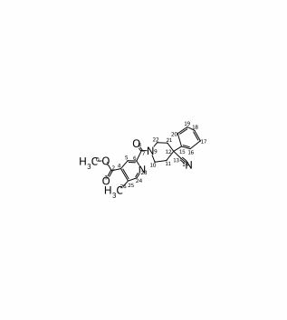 COC(=O)c1cc(C(=O)N2CCC(C#N)(c3ccccc3)CC2)ncc1C